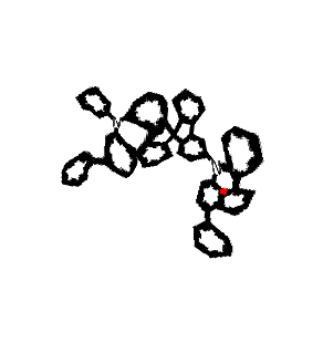 c1ccc(-c2ccc(N(c3ccc4c(c3)-c3ccccc3C43c4ccccc4-c4c(N(c5ccccc5)c5cccc(-c6ccccc6)c5)cccc43)c3ccccc3-c3ccccc3)cc2)cc1